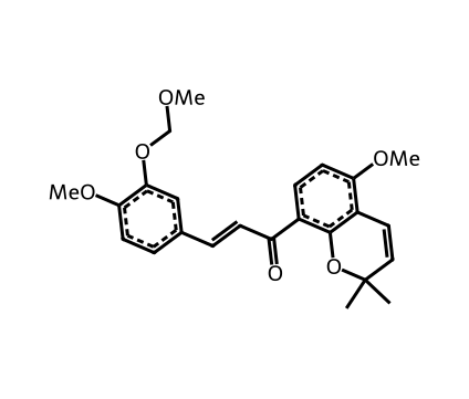 COCOc1cc(/C=C/C(=O)c2ccc(OC)c3c2OC(C)(C)C=C3)ccc1OC